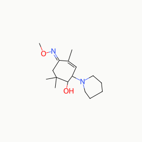 CO/N=C1\CC(C)(C)C(O)C(N2CCCCC2)C=C1C